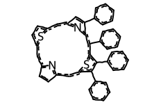 C1=Cc2cc3sc(c(-c4ccccc4)c4nc(cc5ccc(cc1n2)s5)C=C4c1ccccc1)c(-c1ccccc1)c3-c1ccccc1